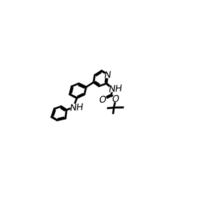 CC(C)(C)OC(=O)Nc1cc(-c2cccc(Nc3ccccc3)c2)ccn1